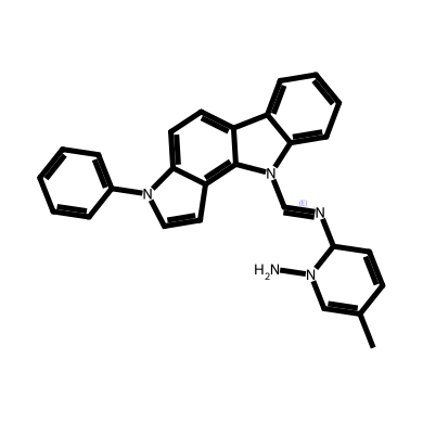 CC1=CN(N)C(/N=C/n2c3ccccc3c3ccc4c(ccn4-c4ccccc4)c32)C=C1